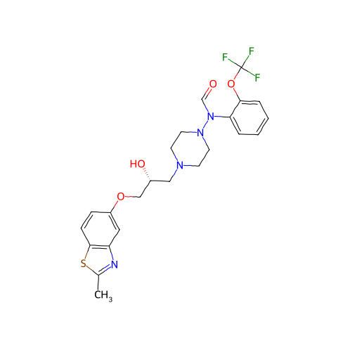 Cc1nc2cc(OC[C@H](O)CN3CCN(N(C=O)c4ccccc4OC(F)(F)F)CC3)ccc2s1